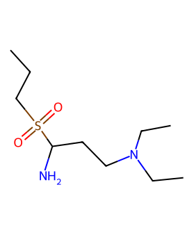 CCCS(=O)(=O)C(N)CCN(CC)CC